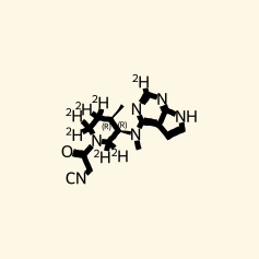 [2H]c1nc(N(C)[C@@H]2[C@H](C)C([2H])([2H])C([2H])([2H])N(C(=O)C[N+]#[C-])C2([2H])[2H])c2cc[nH]c2n1